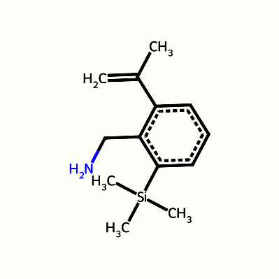 C=C(C)c1cccc([Si](C)(C)C)c1CN